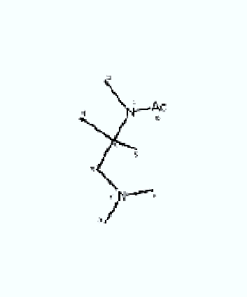 CC(=O)N(C)C(C)(C)CN(C)C